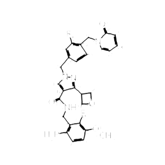 COc1ccc(P)c(CNC(=O)c2cn(Cc3ccc(Cn4ccccc4=O)c(F)c3)nc2C2COC2)c1F